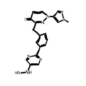 CCCNc1cnc(-c2cccc(Cc3nn(-c4cnn(C)c4)ccc3=O)c2)nc1